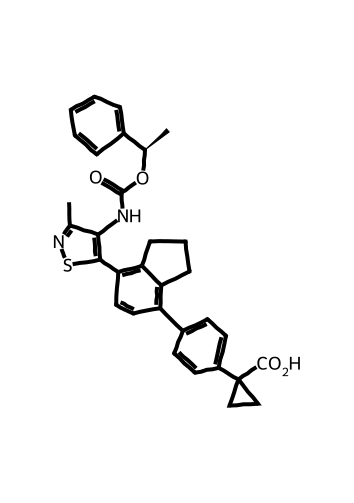 Cc1nsc(-c2ccc(-c3ccc(C4(C(=O)O)CC4)cc3)c3c2CCC3)c1NC(=O)O[C@H](C)c1ccccc1